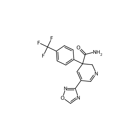 NC(=O)C1(c2ccc(C(F)(F)F)cc2)C=C(c2ncon2)C=NC1